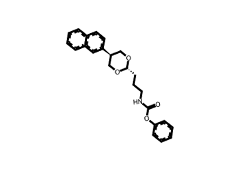 O=C(NCCC[C@H]1OC[C@H](c2ccc3ccccc3c2)CO1)Oc1ccccc1